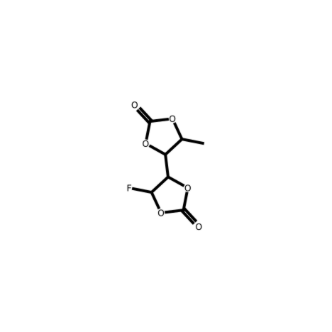 CC1OC(=O)OC1C1OC(=O)OC1F